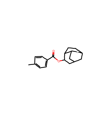 Cc1ccc(C(=O)OC2CC3CC4CCC2C(C4)C3)cc1